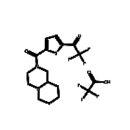 O=C(O)C(F)(F)F.O=C(c1ccc(C(=O)C(F)(F)F)s1)N1CCN2CCCCC2C1